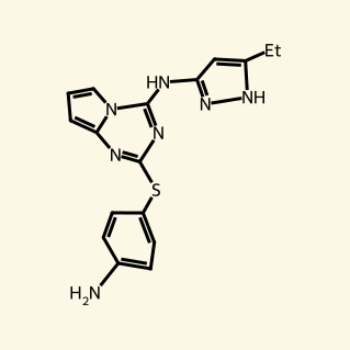 CCc1cc(Nc2nc(Sc3ccc(N)cc3)nc3cccn23)n[nH]1